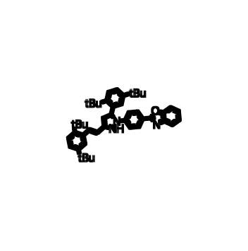 CC(C)(C)c1ccc(C(C)(C)C)c(C=CC2=CC(c3cc(C(C)(C)C)ccc3C(C)(C)C)N(c3ccc(-c4nc5ccccc5o4)cc3)N2)c1